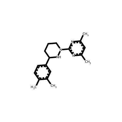 Cc1cc(C)nc(N2CCCC(c3ccc(C)c(C)c3)N2)n1